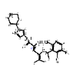 CC(C)=C(/C=C(\N)C(=O)Nc1cnn(C2CCNCC2)c1)OC(C)c1c(Cl)ccc(F)c1Cl